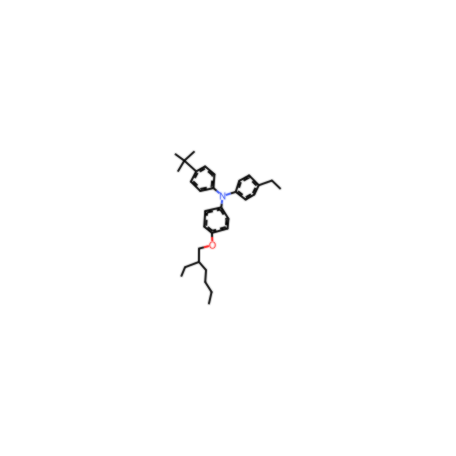 CCCCC(CC)COc1ccc(N(c2ccc(CC)cc2)c2ccc(C(C)(C)C)cc2)cc1